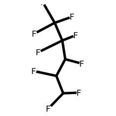 [CH2]C(F)(F)C(F)(F)C(F)C(F)C(F)F